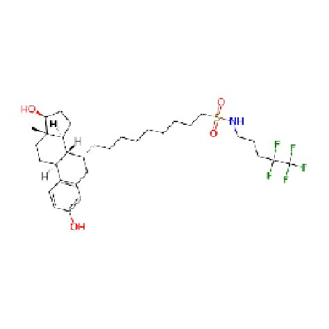 C[C@]12CC[C@@H]3c4ccc(O)cc4C[C@@H](CCCCCCCCCS(=O)(=O)NCCCC(F)(F)C(F)(F)F)[C@H]3[C@@H]1CC[C@@H]2O